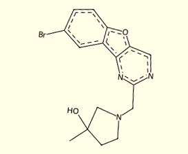 CC1(O)CCN(Cc2ncc3oc4ccc(Br)cc4c3n2)C1